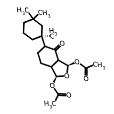 CC(=O)O[C@@H]1O[C@H](OC(C)=O)C2C(=O)C([C@@]3(C)CCCC(C)(C)C3)CCC21